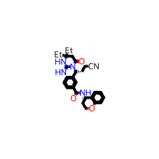 CCC1(CC)CC(=O)N([C@H](CCC#N)c2cccc(C(=O)N[C@H]3CCOc4ccccc43)c2)C(=N)N1